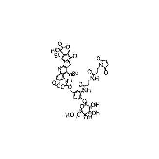 CCCCc1c2c(nc3cc4c(c(NC(=O)OCc5ccc(O[C@@H]6O[C@H](C(=O)O)[C@@H](O)[C@H](O)[C@H]6O)c(NC(=O)CCNC(=O)CCN6C(=O)C=CC6=O)c5)c13)OCO4)-c1cc3c(c(=O)n1C2)COC(=O)[C@]3(O)CC